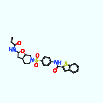 C=CC(=O)NC1CC2CCN(S(=O)(=O)c3ccc(NC(=O)c4cc5ccccc5s4)cc3)CC2O1